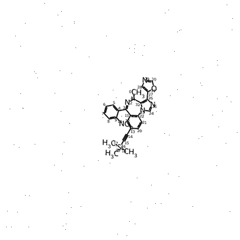 C[C@@H]1N=C(c2ccccc2[N+](=O)[O-])c2cc(C#C[Si](C)(C)C)ccc2-n2cnc(-c3cnco3)c21